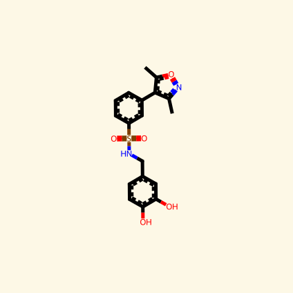 Cc1noc(C)c1-c1cccc(S(=O)(=O)NCc2ccc(O)c(O)c2)c1